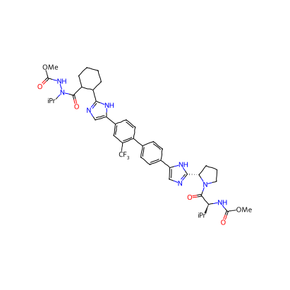 COC(=O)N[C@H](C(=O)N1CCC[C@H]1c1ncc(-c2ccc(-c3ccc(-c4cnc(C5CCCCC5C(=O)N(NC(=O)OC)C(C)C)[nH]4)cc3C(F)(F)F)cc2)[nH]1)C(C)C